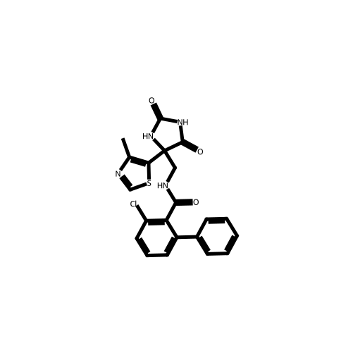 Cc1ncsc1C1(CNC(=O)c2c(Cl)cccc2-c2ccccc2)NC(=O)NC1=O